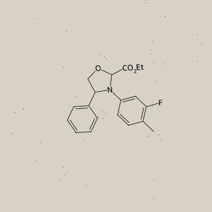 CCOC(=O)C1OCC(c2ccccc2)N1c1ccc(C)c(F)c1